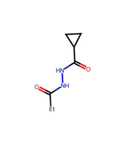 CCC(=O)NNC(=O)C1CC1